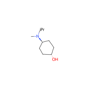 CC(C)N(C)[C@H]1CC[C@H](O)CC1